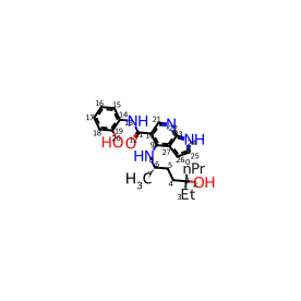 CCC[C@@](O)(CC)CC[C@H](C)Nc1c(C(=O)Nc2ccccc2O)cnc2[nH]ccc12